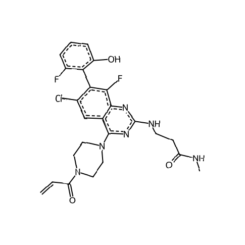 C=CC(=O)N1CCN(c2nc(NCCC(=O)NC)nc3c(F)c(-c4c(O)cccc4F)c(Cl)cc23)CC1